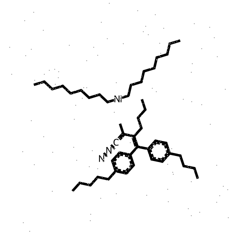 CCCCCCCC[CH2][Ni][CH2]CCCCCCCC.CCCCCc1ccc(C(=C(CCCC)C(C)=C=[N+]=[N-])c2ccc(CCCC)cc2)cc1